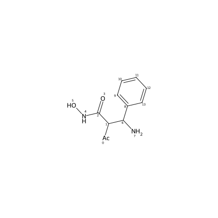 CC(=O)C(C(=O)NO)C(N)c1ccccc1